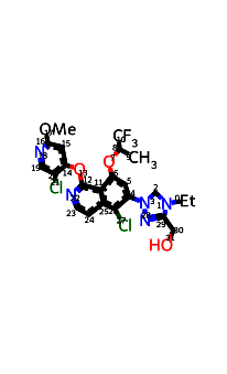 CCN1CN(c2cc(OC(C)C(F)(F)F)c3c(Oc4cc(OC)ncc4Cl)nccc3c2Cl)N=C1CO